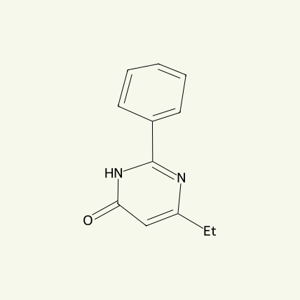 CCc1cc(=O)[nH]c(-c2ccccc2)n1